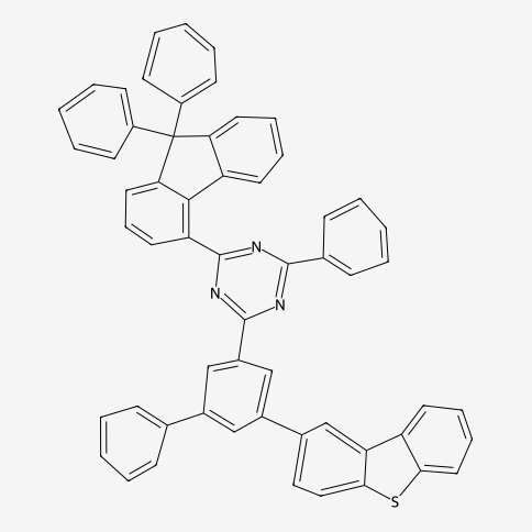 c1ccc(-c2cc(-c3ccc4sc5ccccc5c4c3)cc(-c3nc(-c4ccccc4)nc(-c4cccc5c4-c4ccccc4C5(c4ccccc4)c4ccccc4)n3)c2)cc1